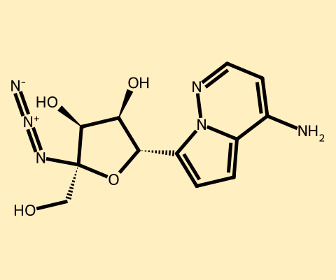 [N-]=[N+]=N[C@]1(CO)O[C@@H](c2ccc3c(N)ccnn23)[C@H](O)[C@@H]1O